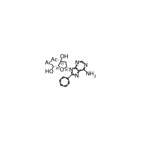 CC(=O)C(O)[C@H]1O[C@@H](n2c(-c3ccccc3)nc3c(N)ncnc32)C[C@@]1(O)C(C)=O